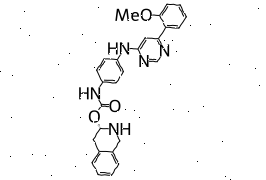 COc1ccccc1-c1cc(Nc2ccc(NC(=O)O[C@H]3Cc4ccccc4CN3)cc2)ncn1